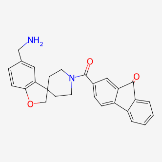 NCc1ccc2c(c1)C1(CCN(C(=O)c3ccc4c(c3)C(=O)c3ccccc3-4)CC1)CO2